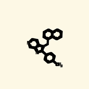 Cc1ccc(-c2nc3cnccc3n2Cc2cccc3ccccc23)cc1